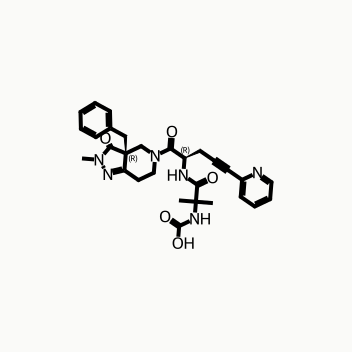 CN1N=C2CCN(C(=O)[C@@H](CC#Cc3ccccn3)NC(=O)C(C)(C)NC(=O)O)C[C@@]2(Cc2ccccc2)C1=O